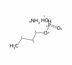 CCCCO[PH](=O)O.N